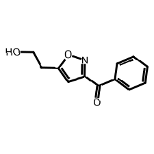 O=C(c1ccccc1)c1cc(CCO)on1